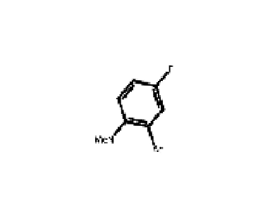 CNc1ccc(F)cc1C(C)=O